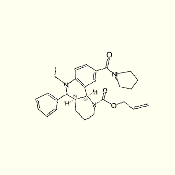 C=CCOC(=O)N1CCC[C@H]2C(c3ccccc3)N(CC)c3ccc(C(=O)N4CCCC4)cc3[C@H]21